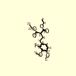 CCOC(=O)C(CCc1ccc(OC)c(OC)c1F)C(=O)OCC